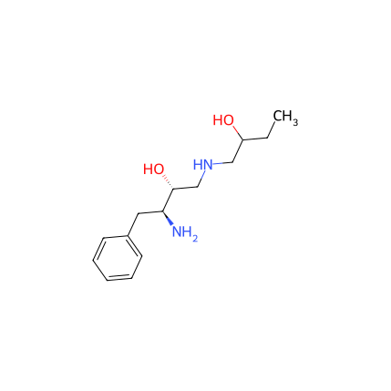 CCC(O)CNC[C@@H](O)[C@@H](N)Cc1ccccc1